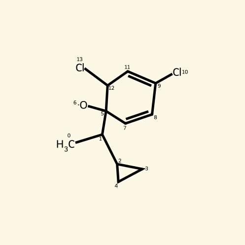 CC(C1CC1)C1([O])C=CC(Cl)=CC1Cl